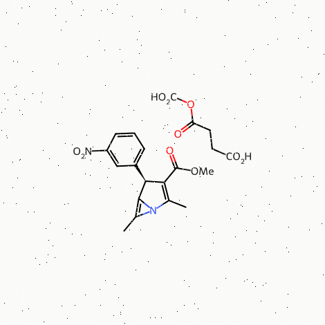 COC(=O)C1=C(C)N2C(C)=C2[C@H]1c1cccc([N+](=O)[O-])c1.O=C(O)CCC(=O)OC(=O)O